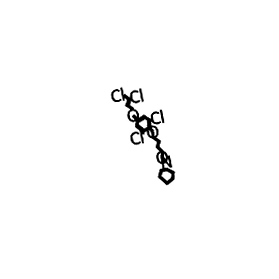 ClC(Cl)=CCOc1cc(Cl)c(OCCCCON=C2CCCCC2)c(Cl)c1